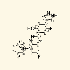 C[C@]12CC[C@](C)(C[C@@H](N(CCF)c3ccc(-c4cc(F)c(-c5cn[nH]c5)cc4O)nn3)C1)N2